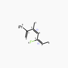 C=C(/C(C)=C\C(F)=C/C)C(C)C